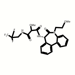 COCCN1C(=O)[C@@H](NC(=O)C(OC)C(=O)NCC(F)(F)C(F)(F)F)c2ccccc2-c2ccccc21